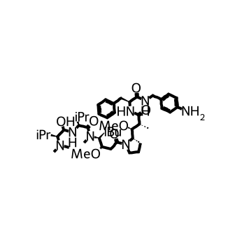 CC[C@H](C)[C@@H]([C@@H](CC(=O)N1CCC[C@H]1[C@H](OC)[C@@H](C)C(=O)N[C@@H](Cc1ccccc1)C(=O)NCc1ccc(N)cc1)OC)N(C)C(=O)[C@@H](NC(O)[C@H](C(C)C)N(C)C)C(C)C